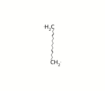 [CH2]CCC=CCCCCCC=CCCC[CH2]